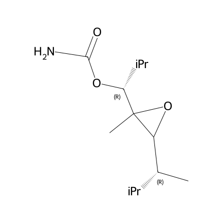 CC(C)[C@@H](C)C1OC1(C)[C@H](OC(N)=O)C(C)C